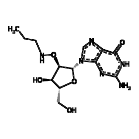 CCCNO[C@@H]1[C@H](O)[C@@H](CO)O[C@H]1n1cnc2c(=O)[nH]c(N)nc21